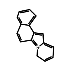 C1=CC[N+]2=c3ccc4ccccc4c3=CC2=C1